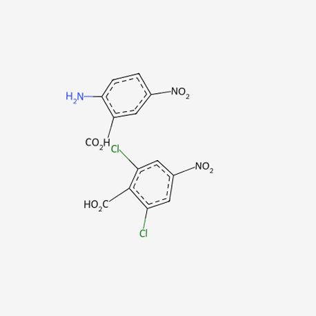 Nc1ccc([N+](=O)[O-])cc1C(=O)O.O=C(O)c1c(Cl)cc([N+](=O)[O-])cc1Cl